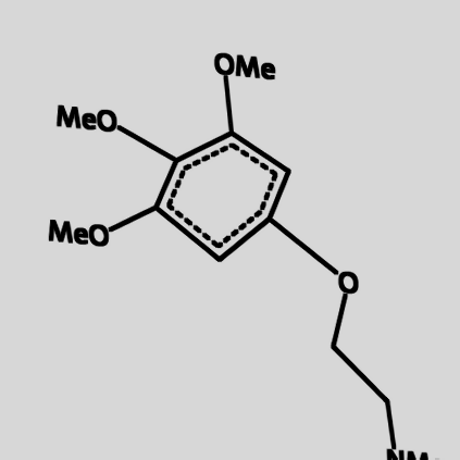 CNCCOc1cc(OC)c(OC)c(OC)c1